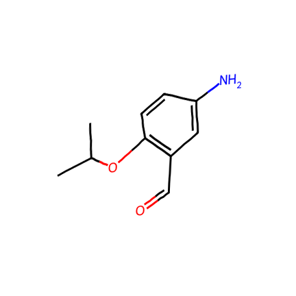 CC(C)Oc1ccc(N)cc1C=O